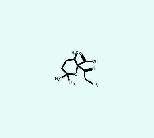 COC(=O)C1(C(=O)O)OC(C)(C)CCC1C